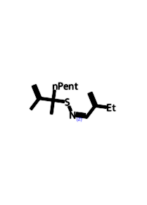 C=C(/C=N\SC(C)(CCCCC)C(=C)C)CC